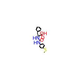 CSc1ccc(NC(=O)N[C@@H](Cc2ccccc2)C(=O)O)cc1